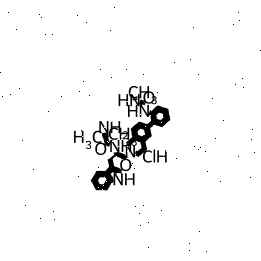 CNC(=O)Nc1ccccc1-c1ccc2c(c1)CCN(C(=O)[C@@H](Cc1c[nH]c3ccccc13)NC(=O)C(C)(C)N)C2.Cl